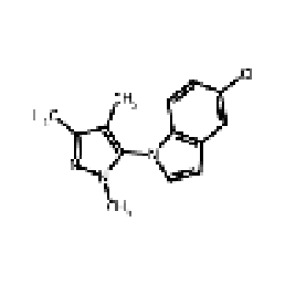 Cc1nn(C)c(-n2ccc3cc(Cl)ccc32)c1C